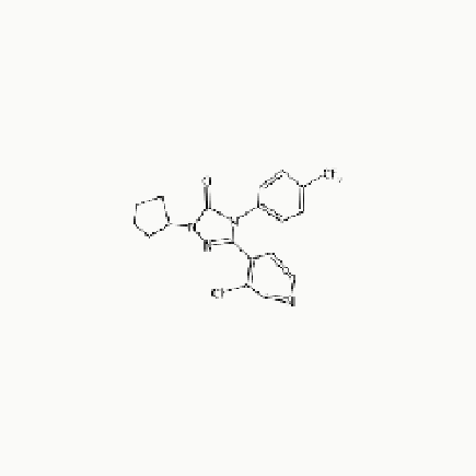 O=c1n(C2CCCC2)nc(-c2ccncc2Cl)n1-c1ccc(C(F)(F)F)cc1